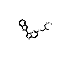 CC(CN)COc1ccc2ncc(-c3cc4ccccc4o3)n2n1